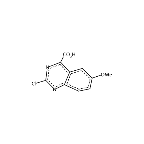 COc1ccc2nc(Cl)nc(C(=O)O)c2c1